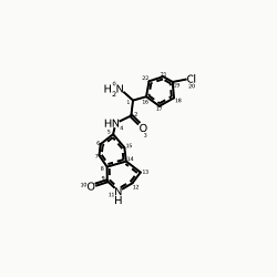 NC(C(=O)Nc1ccc2c(=O)[nH]ccc2c1)c1ccc(Cl)cc1